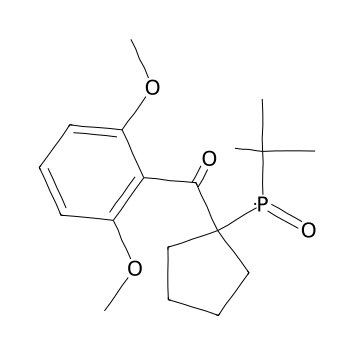 COc1cccc(OC)c1C(=O)C1([P](=O)C(C)(C)C)CCCC1